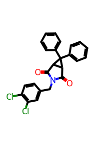 O=C1C2C(C(=O)N1Cc1ccc(Cl)c(Cl)c1)C2(c1ccccc1)c1ccccc1